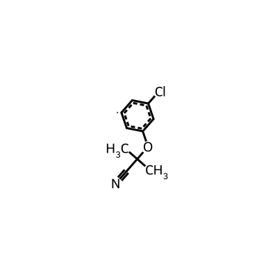 CC(C)(C#N)Oc1c[c]cc(Cl)c1